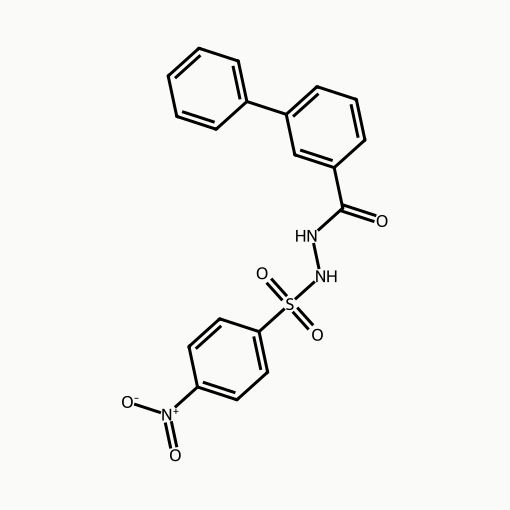 O=C(NNS(=O)(=O)c1ccc([N+](=O)[O-])cc1)c1cccc(-c2ccccc2)c1